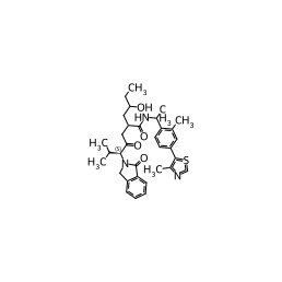 CCC(O)CC(CC(=O)[C@H](C(C)C)N1Cc2ccccc2C1=O)C(=O)NC(C)c1ccc(-c2scnc2C)cc1C